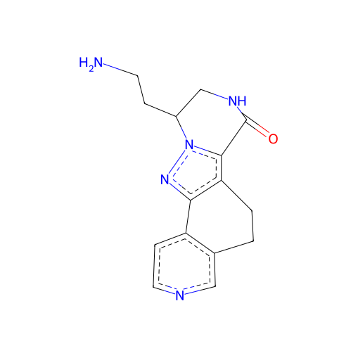 NCCC1CNC(=O)c2c3c(nn21)-c1ccncc1CC3